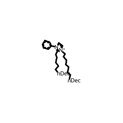 CCCCCCCCCCCCCCCCC[n+]1ccn(-c2ccccc2)c1CCCCCCCCCCCCCCC